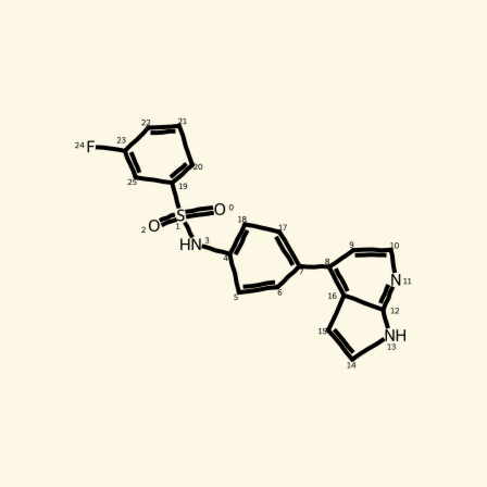 O=S(=O)(Nc1ccc(-c2ccnc3[nH]ccc23)cc1)c1cccc(F)c1